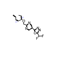 C=C/C=C\C(=C/C)OCc1ncc(-c2nnc(C(F)F)o2)cn1